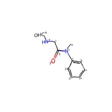 CN(C(=O)CNC=O)c1ccccc1